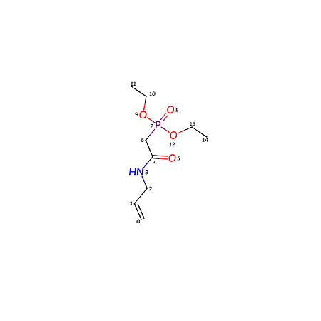 C=CCNC(=O)CP(=O)(OCC)OCC